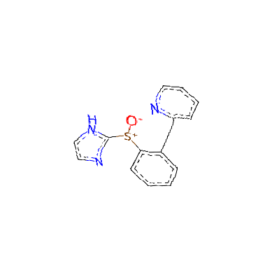 [O-][S+](c1ncc[nH]1)c1ccccc1-c1ccccn1